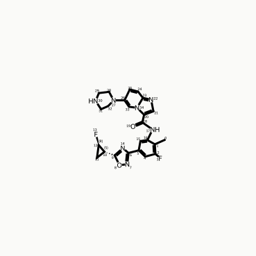 Cc1c(F)cc(-c2noc([C@@H]3C[C@H]3F)n2)cc1NC(=O)c1cnc2ccc(N3CCNCC3)cn12